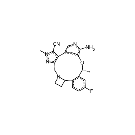 C[C@H]1Oc2cc(cnc2N)-c2c(nn(C)c2C#N)CN2CCC2c2ccc(F)cc21